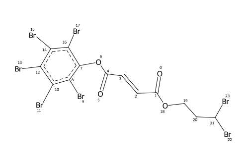 O=C(C=CC(=O)Oc1c(Br)c(Br)c(Br)c(Br)c1Br)OCCC(Br)Br